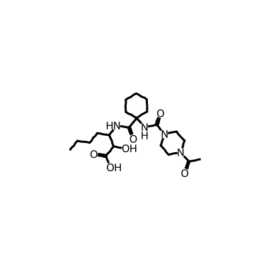 CCCCC(NC(=O)C1(NC(=O)N2CCN(C(C)=O)CC2)CCCCC1)C(O)C(=O)O